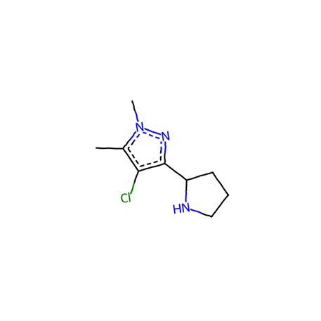 Cc1c(Cl)c(C2CCCN2)nn1C